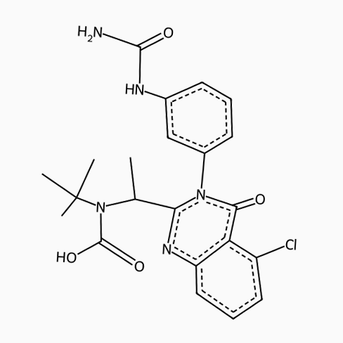 CC(c1nc2cccc(Cl)c2c(=O)n1-c1cccc(NC(N)=O)c1)N(C(=O)O)C(C)(C)C